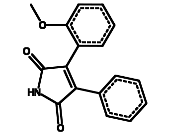 COc1ccccc1C1=C(c2ccccc2)C(=O)NC1=O